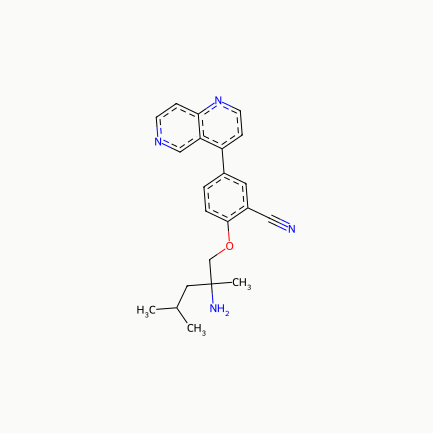 CC(C)CC(C)(N)COc1ccc(-c2ccnc3ccncc23)cc1C#N